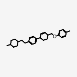 Cc1ccc(OCC2C=CC(c3ccc(CCC4CCC(C)CC4)cc3)CC2)cc1